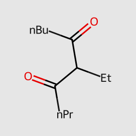 CCCCC(=O)C(CC)C(=O)CCC